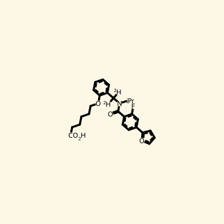 [2H]C([2H])(c1ccccc1OCCCCCC(=O)O)N(C(=O)c1ccc(-c2ccco2)cc1F)C(C)C